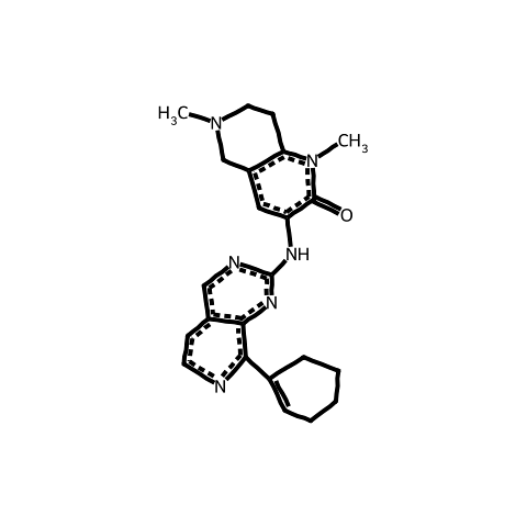 CN1CCc2c(cc(Nc3ncc4ccnc(C5=CCCCC5)c4n3)c(=O)n2C)C1